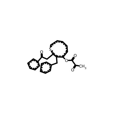 CC(=O)C(=O)Oc1cccccsc(CC(=O)c2ccccc2)c1Cc1ccccc1